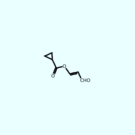 O=CC=COC(=O)C1CC1